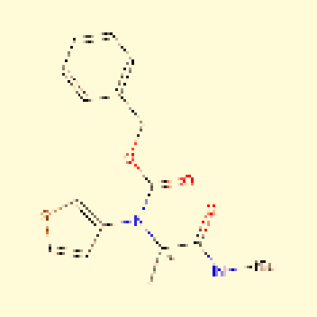 C[C@@H](C(=O)NC(C)(C)C)N(C(=O)OCc1ccccc1)c1ccsc1